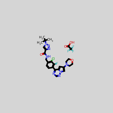 CC(C)(C)n1cc(C(=O)NCc2ccc(-c3ncnn4cc(N5CCOCC5)cc34)c(F)c2Cl)nn1.O=C(O)C(F)(F)F